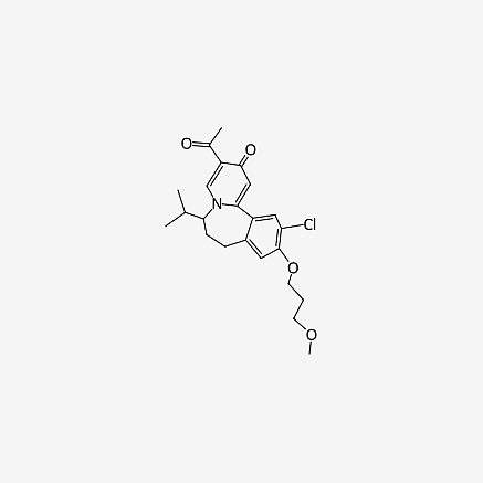 COCCCOc1cc2c(cc1Cl)-c1cc(=O)c(C(C)=O)cn1C(C(C)C)CC2